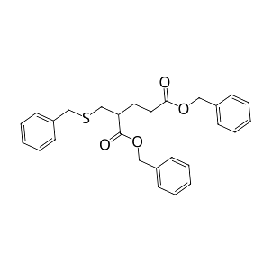 O=C(CCC(CSCc1ccccc1)C(=O)OCc1ccccc1)OCc1ccccc1